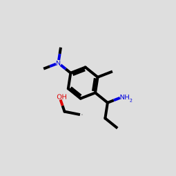 CCC(N)c1ccc(N(C)C)cc1C.[CH2]CO